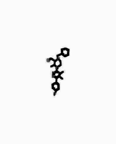 Cc1c(-c2ccc(F)cc2)nnc(N2CCN(Cc3ccccc3)C(C=O)C2C)c1C